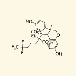 CCCCCCCCC(C1c2ccc(O)cc2OCC1(C)c1ccc(O)cc1)C(CC)(CCCC(F)(F)C(F)(F)F)C(=O)O